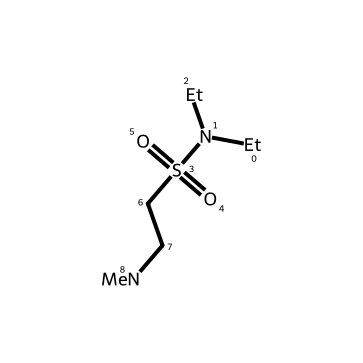 CCN(CC)S(=O)(=O)CCNC